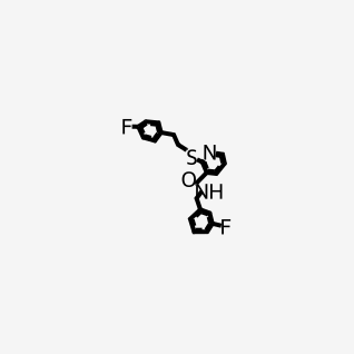 O=C(NCc1cccc(F)c1)c1cccnc1SCCCc1ccc(F)cc1